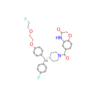 O=C1COc2ccc(C(=O)N3CCC([C@H](c4ccc(F)cc4)c4ccc(OCCOCCF)cc4)CC3)cc2N1